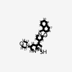 O=c1cc(-c2cn(S)c3ncc(N4CCOCC4)cc23)ccn1Cc1cccc2ccccc12